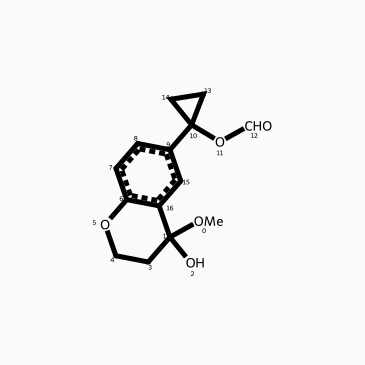 COC1(O)CCOc2ccc(C3(OC=O)CC3)cc21